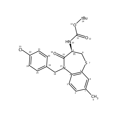 Cc1ccc2c(c1)SC[C@H](NC(=O)OC(C)(C)C)C(=O)N2Cc1ccc(Cl)cc1